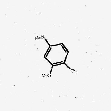 CNc1ccc(C(F)(F)F)c(OC)c1